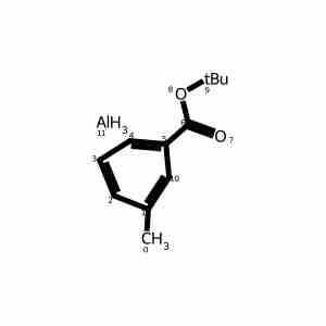 Cc1cccc(C(=O)OC(C)(C)C)c1.[AlH3]